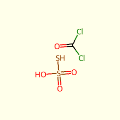 O=C(Cl)Cl.O=S(=O)(O)S